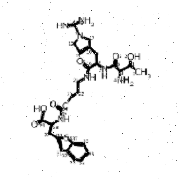 CC(O)C(N)C(=O)NC(CC1=CCN(C(=N)N)C1)C(=O)NCCCCC(=O)NC(Cc1cc2ccccc2s1)C(=O)O